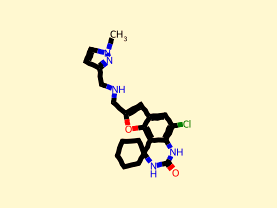 Cn1ccc(CNCc2cc3cc(Cl)c4c(c3o2)C2(CCCCC2)NC(=O)N4)n1